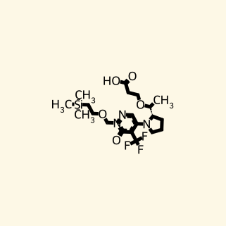 CC(OCCC(=O)O)[C@@H]1CCCN1c1cnn(COCC[Si](C)(C)C)c(=O)c1C(F)(F)F